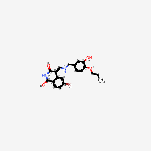 CCCOc1ccc(CN/C=C2/C(=O)NC(=O)c3ccc(Br)cc32)cc1O